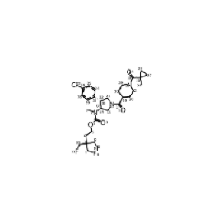 CN(C(=O)OCCC(CF)(CF)CF)[C@@H]1CN(C(=O)C2CCN(C(=O)C3(C)CC3)CC2)C[C@H]1c1ccc(Cl)cc1